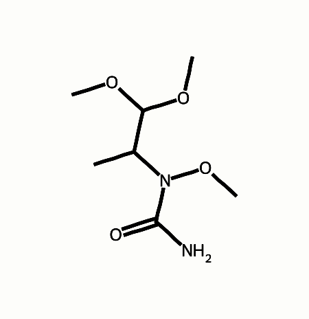 COC(OC)C(C)N(OC)C(N)=O